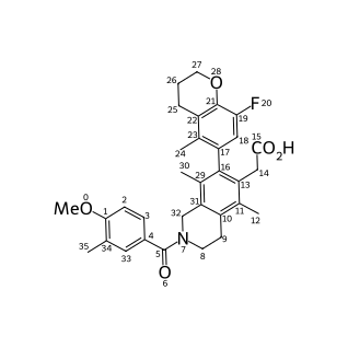 COc1ccc(C(=O)N2CCc3c(C)c(CC(=O)O)c(-c4cc(F)c5c(c4C)CCCO5)c(C)c3C2)cc1C